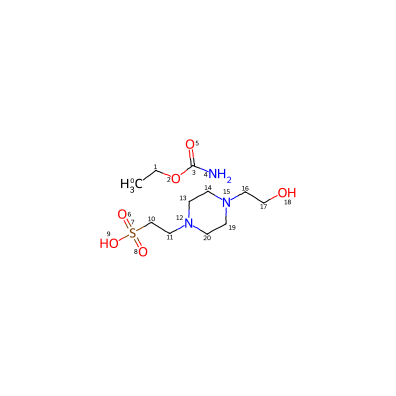 CCOC(N)=O.O=S(=O)(O)CCN1CCN(CCO)CC1